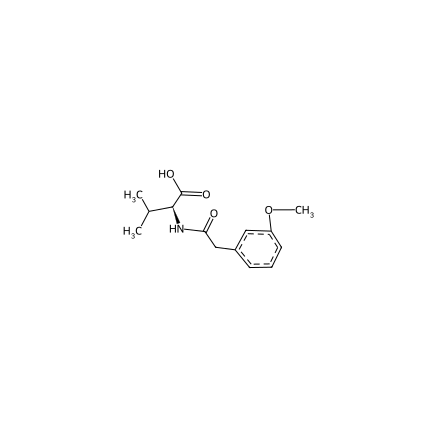 COc1cccc(CC(=O)N[C@H](C(=O)O)C(C)C)c1